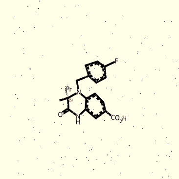 CC(C)[C@@]1(C)C(=O)Nc2cc(C(=O)O)ccc2N1Cc1ccc(F)cc1